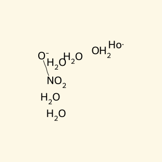 O.O.O.O.O.O=[N+]([O-])[O-].[Ho]